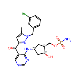 Cc1cc(C(=O)c2cncnc2N[C@@H]2C[C@@H](COS(N)(=O)=O)[C@@H](O)C2)nn1Cc1cccc(Br)c1